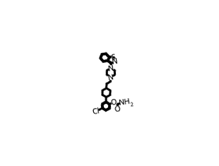 NC(=O)Oc1ccc(Cl)cc1C1CCC(CCN2CCN(c3nsc4ccccc34)CC2)CC1